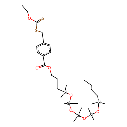 CCCC[Si](C)(C)O[Si](C)(C)O[Si](C)(C)O[Si](C)(C)O[Si](C)(C)CCCOC(=O)c1ccc(CSC(=S)OCC)cc1